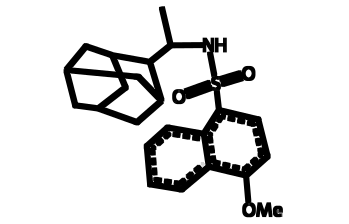 COc1ccc(S(=O)(=O)NC(C)C2C3CC4CC(C3)CC2C4)c2ccccc12